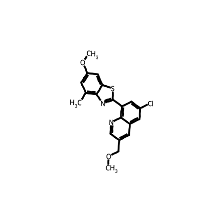 COCc1cnc2c(-c3nc4c(C)cc(OC)cc4s3)cc(Cl)cc2c1